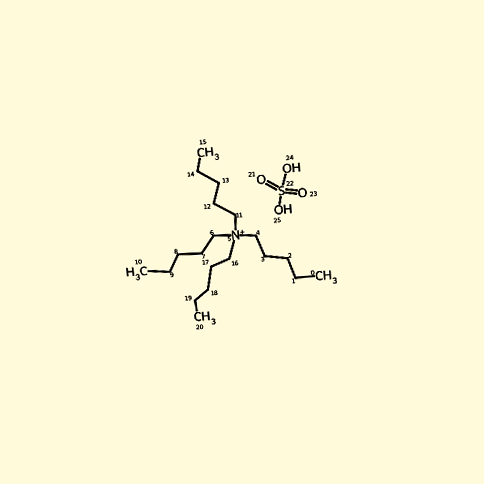 CCCCC[N+](CCCCC)(CCCCC)CCCCC.O=S(=O)(O)O